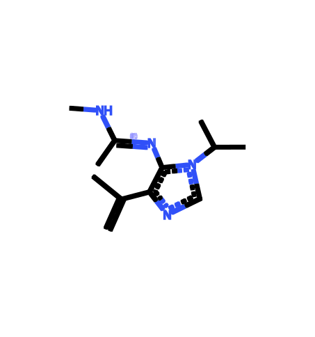 C=C(C)c1ncn(C(C)C)c1/N=C(\C)NC